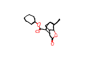 CC1C2CC3C1OC(=O)C3C2C(=O)OC1CCCCC1